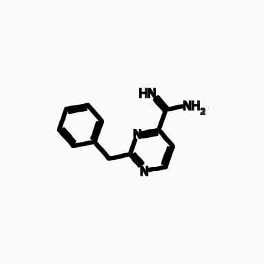 N=C(N)c1ccnc(Cc2ccccc2)n1